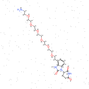 Cn1c(=O)n(C2CCC(=O)NC2=O)c2cccc(CCOCCOCCOCCOCCOCCOCCN)c21